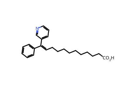 O=C(O)CCCCCCCCC/C=C(/c1ccccc1)c1cccnc1